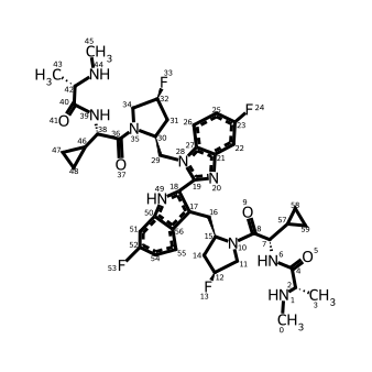 CN[C@@H](C)C(=O)N[C@H](C(=O)N1C[C@@H](F)C[C@H]1Cc1c(-c2nc3cc(F)ccc3n2C[C@@H]2C[C@H](F)CN2C(=O)[C@@H](NC(=O)[C@H](C)NC)C2CC2)[nH]c2cc(F)ccc12)C1CC1